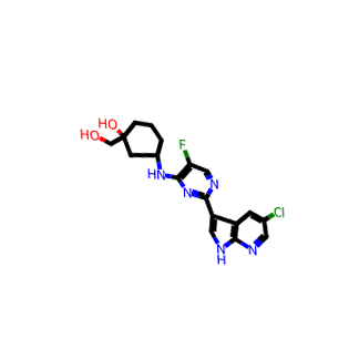 OCC1(O)CCCC(Nc2nc(-c3c[nH]c4ncc(Cl)cc34)ncc2F)C1